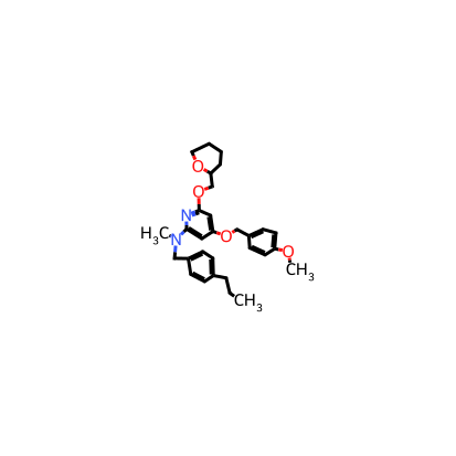 CCCc1ccc(CN(C)c2cc(OCc3ccc(OC)cc3)cc(OCC3CCCCO3)n2)cc1